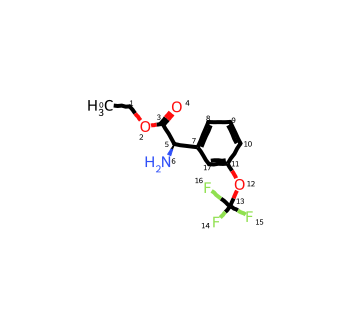 CCOC(=O)[C@H](N)c1cccc(OC(F)(F)F)c1